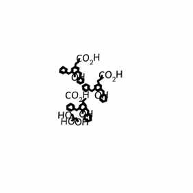 O=C(O)CCc1cc(Cc2ccccc2)c(O)c(Cc2ccccc2)c1.O=C(O)CCc1cc(Cc2ccccc2)c(O)c(Cc2ccccc2)c1.O=C(O)CCc1cc(Cc2ccccc2)c(O)c(Cc2ccccc2)c1.OCC(O)CO